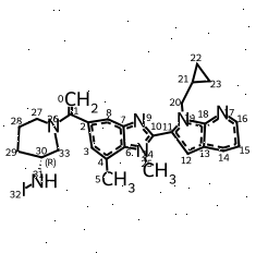 C=C(c1cc(C)c2c(c1)nc(-c1cc3cccnc3n1CC1CC1)n2C)N1CCC[C@@H](NI)C1